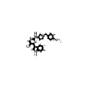 Nc1ccc(CN2CC[C@@H](Nc3ncc(Cl)c(-c4c[nH]c5ccccc45)n3)C2)cc1